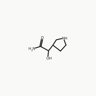 NC(=O)C(O)C1CCNC1